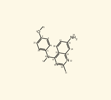 COc1ccc(N(C)c2nc(C)nc3cc(N)ccc23)cc1